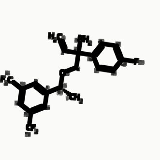 C=CC(N)(CO[C@H](C)c1cc(C(F)(F)F)cc(C(F)(F)F)c1)c1ccc(F)cc1